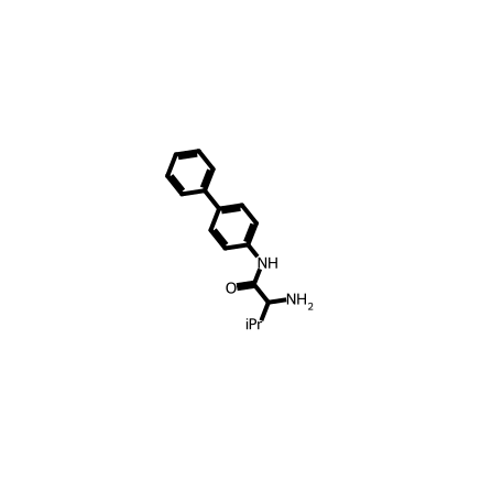 CC(C)C(N)C(=O)Nc1ccc(-c2ccccc2)cc1